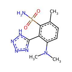 Cc1ccc(N(C)C)c(-c2nnn[nH]2)c1S(N)(=O)=O